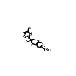 Cc1csc(C(C)(C)Cc2cnc(C(C)(C)C)s2)n1